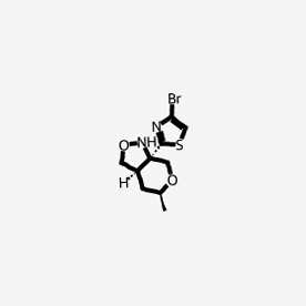 C[C@H]1C[C@H]2CON[C@@]2(c2nc(Br)cs2)CO1